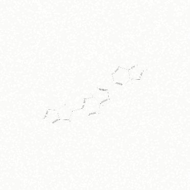 c1cc2n(c1)CC(c1cnc3cc(-c4ccc5nccn5n4)nn3c1)C2